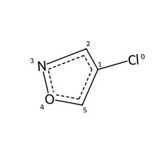 Clc1cnoc1